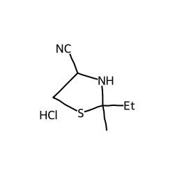 CCC1(C)NC(C#N)CS1.Cl